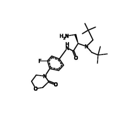 CC(C)(C)CN(CC(C)(C)C)[C@H](CN)C(=O)Nc1ccc(N2CCOCC2=O)c(F)c1